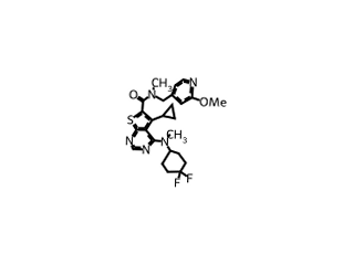 COc1cc(CN(C)C(=O)c2sc3ncnc(N(C)C4CCC(F)(F)CC4)c3c2C2CC2)ccn1